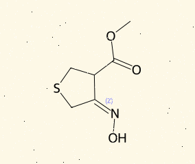 COC(=O)C1CSC/C1=N\O